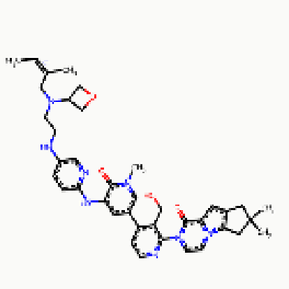 C/C=C(/C)CN(CCNc1ccc(Nc2cc(-c3ccnc(-n4ccn5c6c(cc5c4=O)CC(C)(C)C6)c3CO)cn(C)c2=O)nc1)C1COC1